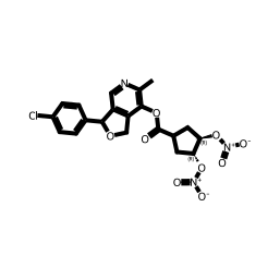 Cc1ncc2c(c1OC(=O)C1C[C@@H](O[N+](=O)[O-])[C@H](O[N+](=O)[O-])C1)COC2c1ccc(Cl)cc1